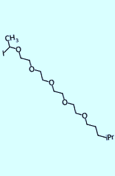 CC(C)CCCOCCOCCOCCOCCOC(C)I